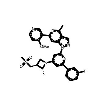 COc1ccncc1-c1cc2c(cnn2-c2cc(N3C[C@H](CS(C)(=O)=O)[C@H]3C)cc(-c3cccc(F)c3)n2)c(C)n1